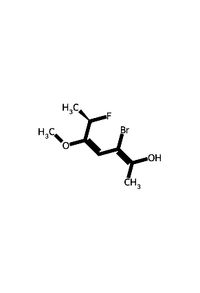 CO/C(=C/C(Br)=C(\C)O)[C@@H](C)F